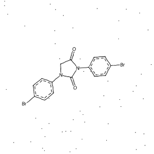 O=C1CN(c2ccc(Br)cc2)C(=O)N1c1ccc(Br)cc1